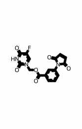 O=C(OCn1cc(F)c(=O)[nH]c1=O)c1cccc(N2C(=O)C=CC2=O)c1